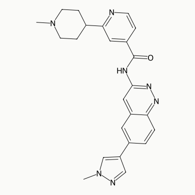 CN1CCC(c2cc(C(=O)Nc3cc4cc(-c5cnn(C)c5)ccc4nn3)ccn2)CC1